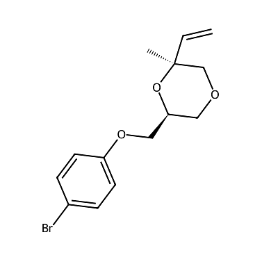 C=C[C@@]1(C)COC[C@@H](COc2ccc(Br)cc2)O1